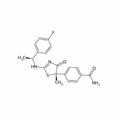 C[C@H](NC1=NC(=O)[C@](C)(c2ccc(C(N)=O)cc2)S1)c1ccc(F)cc1